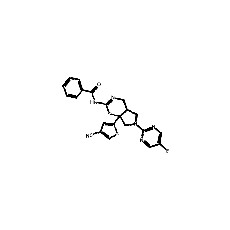 N#Cc1csc(C23CN(c4ncc(F)cn4)CC2CN=C(NC(=O)c2ccccc2)S3)c1